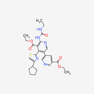 CCNC(=O)Nc1ncc(-c2cncc(C(=O)OCC)c2)c(-c2nc(C3CCCC3)cs2)c1C(=O)OCC